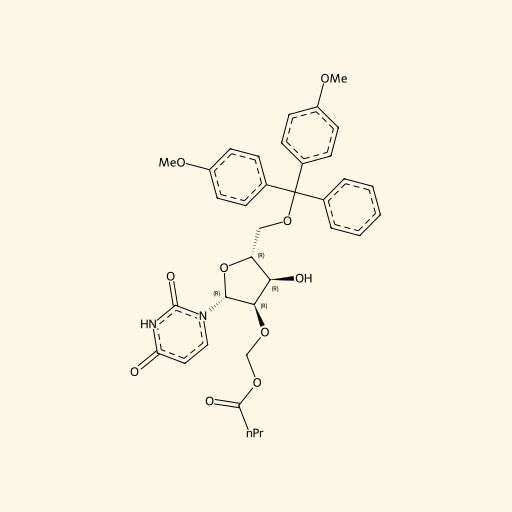 CCCC(=O)OCO[C@@H]1[C@H](O)[C@@H](COC(c2ccccc2)(c2ccc(OC)cc2)c2ccc(OC)cc2)O[C@H]1n1ccc(=O)[nH]c1=O